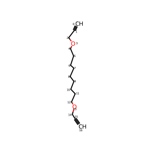 C#CCOCCCCCCCCCOCC#C